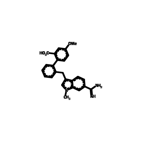 COc1ccc(-c2ccccc2Cc2cn(C)c3cc(C(=N)N)ccc23)c(C(=O)O)c1